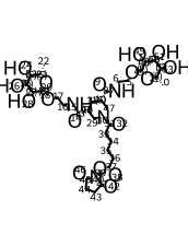 C[C@@H]1O[C@@H](OCCNC(=O)[C@H]2C[C@@H](C(=O)NCCO[C@H]3O[C@@H](C)[C@@H](O)[C@@H](O)[C@@H]3O)CN(C(=O)CCCCC(=O)ON3C(=O)CCC3=O)C2)[C@@H](O)[C@H](O)[C@@H]1O